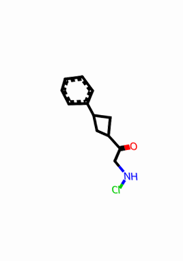 O=C(CNCl)C1CC(c2ccccc2)C1